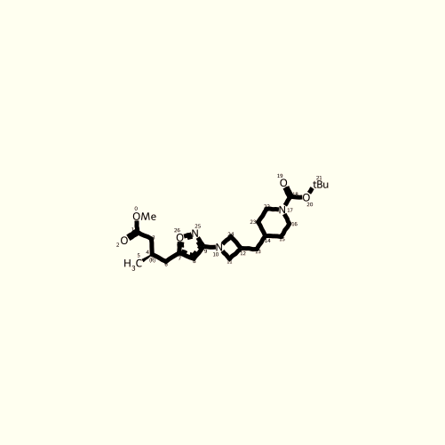 COC(=O)C[C@H](C)Cc1cc(N2CC(CC3CCN(C(=O)OC(C)(C)C)CC3)C2)no1